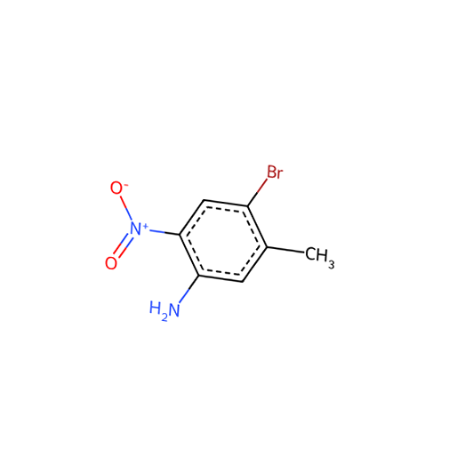 Cc1cc(N)c([N+](=O)[O-])cc1Br